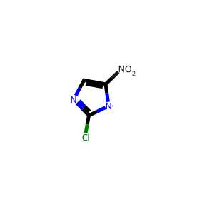 O=[N+]([O-])C1=CN=C(Cl)[N]1